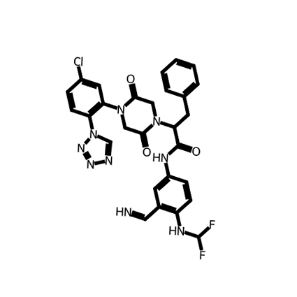 N=Cc1cc(NC(=O)C(Cc2ccccc2)N2CC(=O)N(c3cc(Cl)ccc3-n3cnnn3)CC2=O)ccc1NC(F)F